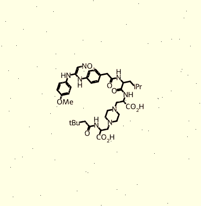 COc1ccc(NC(=C[N+](=O)[O-])Nc2ccc(CC(=O)NC(CC(C)C)C(=O)NC(CN3CCN(CC(NC(=O)CC(C)(C)C)C(=O)O)CC3)C(=O)O)cc2)cc1